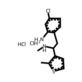 CNC(Cc1ccc(Cl)cc1N)c1ccsc1C.Cl.Cl